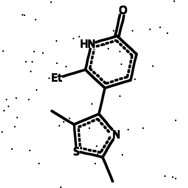 CCc1[nH]c(=O)ccc1-c1nc(C)sc1C